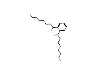 CCCCCCCC(Br)c1ccccc1C(Br)CCCCCCC